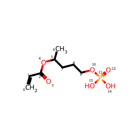 C=CC(=O)OC(C)CCCOP(=O)(O)O